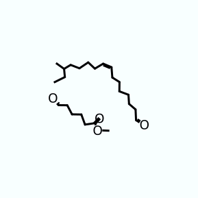 CCC(C)CCCC/C=C\CCCCCCC=O.COC(=O)CCCCC=O